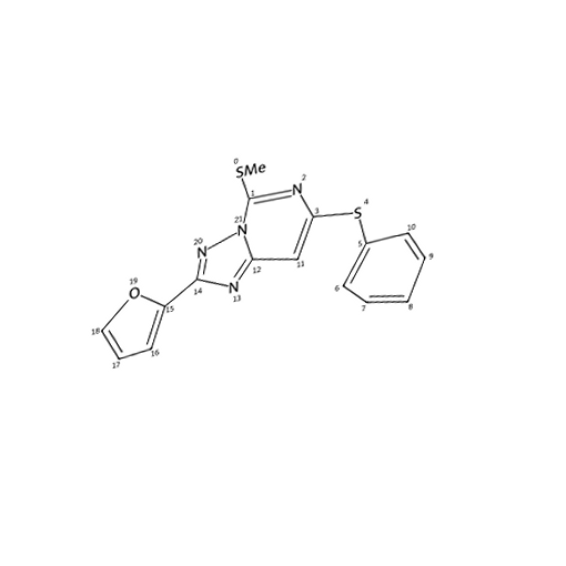 CSc1nc(Sc2ccccc2)cc2nc(-c3ccco3)nn12